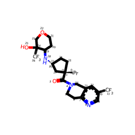 CC(C)[C@]1(C(=O)N2CCc3ncc(C(F)(F)F)cc3C2)CC[C@@H](NC2CCOCC2(O)C(F)(F)F)C1